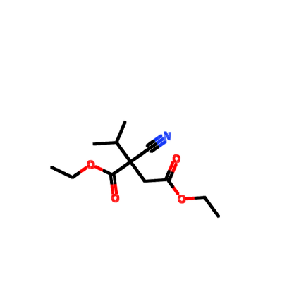 CCOC(=O)CC(C#N)(C(=O)OCC)C(C)C